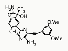 COc1cc(C#Cc2nc(-c3cc(C(O)(C(N)=O)C(F)(F)F)ccc3C)cnc2N)cc(OC)c1